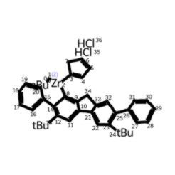 CCCC/[CH]=[Zr](/[C]1=CC=CC1)[c]1c2c(cc(C(C)(C)C)c1-c1ccccc1)-c1cc(C(C)(C)C)c(-c3ccccc3)cc1C2.Cl.Cl